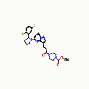 CC(C)(C)OC(=O)N1CCN(C(=O)C=Cc2cnn3ccc(N4CCCC4c4cc(F)ccc4F)nc23)CC1